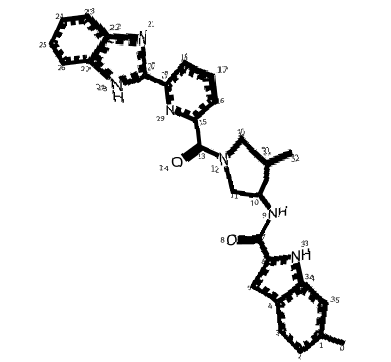 Cc1ccc2cc(C(=O)NC3CN(C(=O)c4cccc(-c5nc6ccccc6[nH]5)n4)CC3C)[nH]c2c1